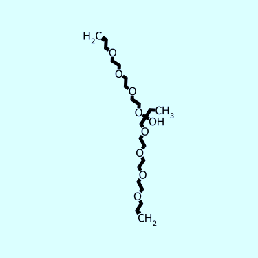 C=CCOCCOCCOCCOCC(O)(CC)OCCOCCOCCOCC=C